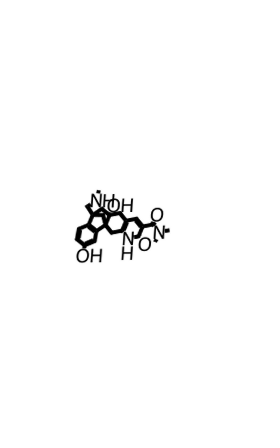 CN(C)C(=O)c1cc2c([nH]c1=O)CC13CC4(CN(C)[C@H]4C1(O)C2)c1ccc(O)cc13